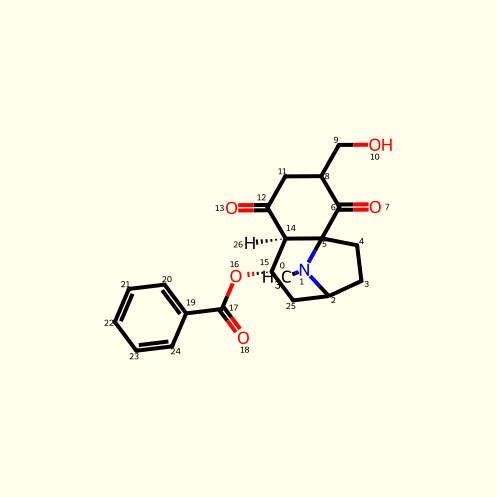 CN1C2CCC13C(=O)C(CO)CC(=O)[C@@H]3[C@@H](OC(=O)c1ccccc1)C2